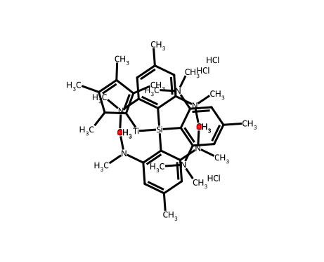 CC1=C(C)C(C)[C]([Ti][Si](c2c(N(C)C)cc(C)cc2N(C)C)(c2c(N(C)C)cc(C)cc2N(C)C)c2c(N(C)C)cc(C)cc2N(C)C)=C1C.Cl.Cl.Cl